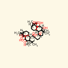 C=C1C(=O)[C@]23[C@H](O)[C@H]1CC[C@H]2[C@@]12CO[C@@]3(O)[C@@H](O)[C@@H]1C(C)(C)C[C@]1(CC[C@@]34CC(C)(C)[C@H]5[C@H](O)[C@]6(O)OC[C@@]5([C@@H]5CC[C@H]7C(=C)C(=O)[C@]56[C@@H]7O)[C@]3(O1)O4)C2=O